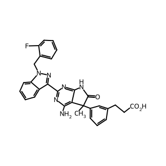 CC1(c2cccc(CCC(=O)O)c2)C(=O)Nc2nc(-c3nn(Cc4ccccc4F)c4ccccc34)nc(N)c21